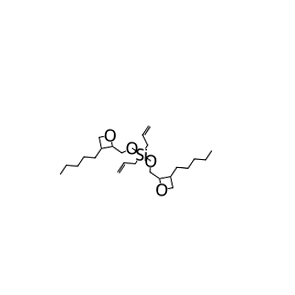 C=CC[Si](CC=C)(OCC1OCC1CCCCC)OCC1OCC1CCCCC